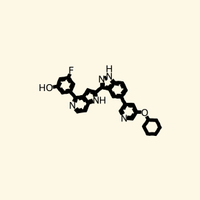 Oc1cc(F)cc(-c2nccc3[nH]c(-c4n[nH]c5ccc(-c6cncc(OC7CCCCC7)c6)cc45)cc23)c1